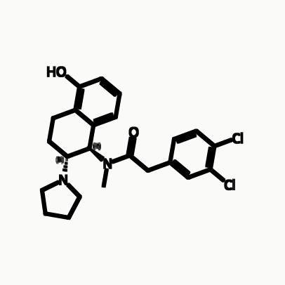 CN(C(=O)Cc1ccc(Cl)c(Cl)c1)[C@@H]1c2cccc(O)c2CC[C@H]1N1CCCC1